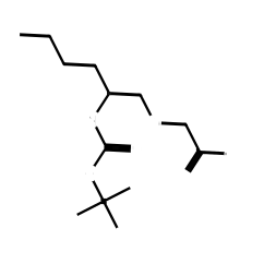 CCCCC(COCC(=O)O)NC(=O)OC(C)(C)C